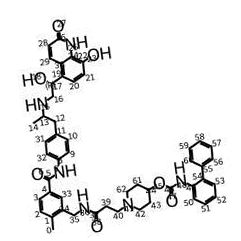 Cc1ccc(C(=O)Nc2ccc(CC(C)NC[C@H](O)c3ccc(O)c4[nH]c(=O)ccc34)cc2)cc1CNC(=O)CCN1CCC(OC(=O)Nc2ccccc2-c2ccccc2)CC1